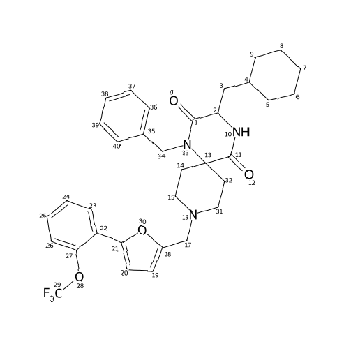 O=C1C(CC2CCCCC2)NC(=O)C2(CCN(Cc3ccc(-c4ccccc4OC(F)(F)F)o3)CC2)N1Cc1ccccc1